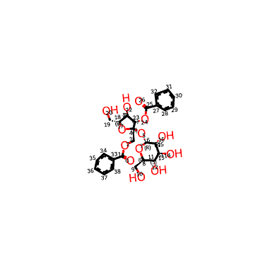 O=C(OC[C@@]1(O[C@H]2O[C@H](CO)[C@@H](O)[C@H](O)[C@H]2O)O[C@H](CO)[C@@H](O)[C@@H]1OC(=O)c1ccccc1)c1ccccc1